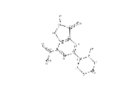 CC1COCCN1c1cc2c(c(C(=O)O)n1)CN(C)C2=O